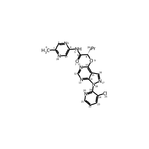 Cc1cnc(NC(=O)[C@@H](Oc2ncnc3c2cnn3-c2ncccc2Cl)C(C)C)cn1